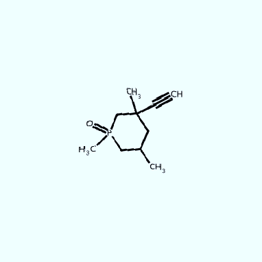 C#CC1(C)CC(C)CP(C)(=O)C1